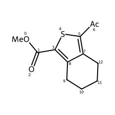 COC(=O)c1sc(C(C)=O)c2c1CCCC2